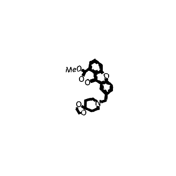 COC(=O)c1cccc2oc3ccc(CN4CCC5(CC4)OCCO5)cc3c(=O)c12